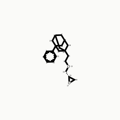 c1ccc(C23CC4CC(CC(CCOC[C@@H]5CO5)(C4)C2)C3)cc1